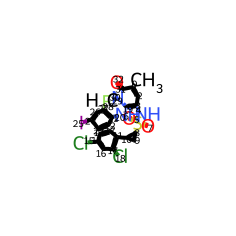 Cc1cc(NS(=O)(=O)C2CC2c2ccc(Cl)cc2Cl)c(Nc2ccc(I)cc2F)n(C)c1=O